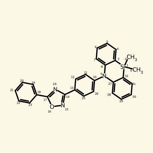 C[Si]1(C)c2ccccc2N(c2ccc(-c3noc(-c4ccccc4)n3)cc2)c2ccccc21